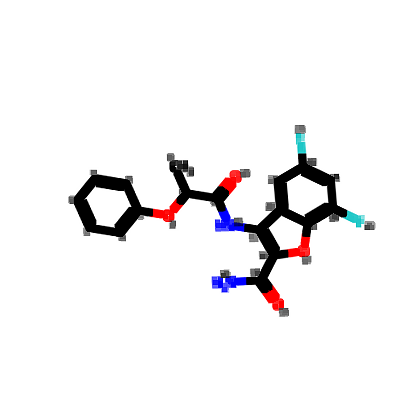 CC(Oc1ccccc1)C(=O)Nc1c(C(N)=O)oc2c(F)cc(F)cc12